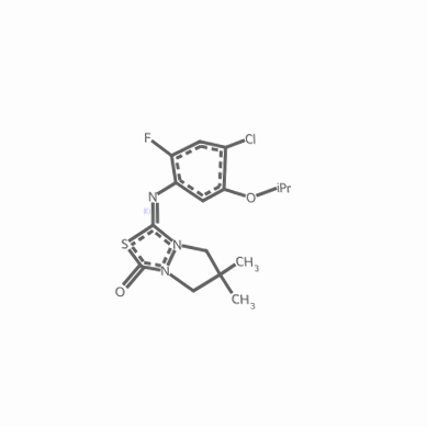 CC(C)Oc1cc(/N=c2/sc(=O)n3n2CC(C)(C)C3)c(F)cc1Cl